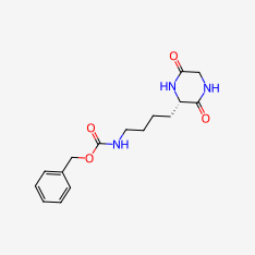 O=C1CNC(=O)[C@H](CCCCNC(=O)OCc2ccccc2)N1